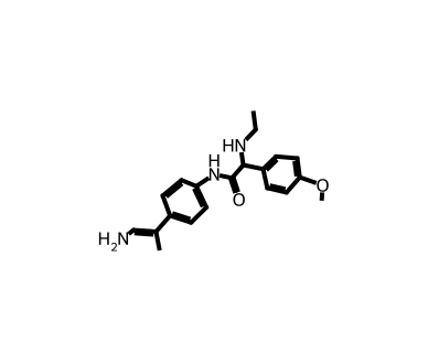 CCNC(C(=O)Nc1ccc(/C(C)=C/N)cc1)c1ccc(OC)cc1